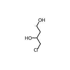 O[CH]CC(O)CCl